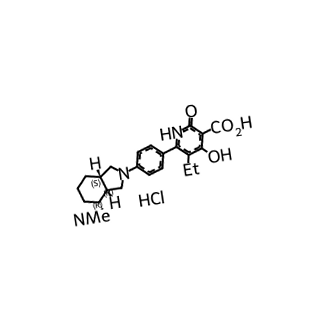 CCc1c(-c2ccc(N3C[C@H]4CCC[C@@H](NC)[C@H]4C3)cc2)[nH]c(=O)c(C(=O)O)c1O.Cl